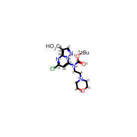 CC(C)(C)OC(=O)N(CCN1CCOCC1)c1cc(Cl)nc2c(C(=O)O)cnn12